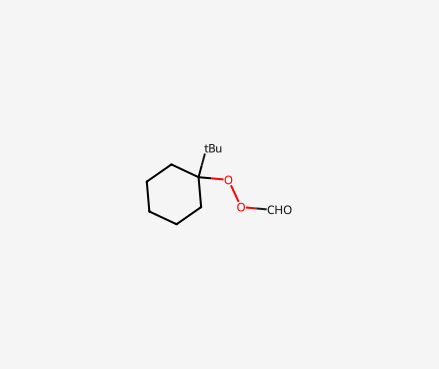 CC(C)(C)C1(OOC=O)CCCCC1